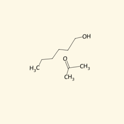 CC(C)=O.CCCCCCO